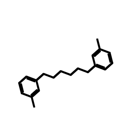 Cc1cccc(CCCCCCc2cccc(C)c2)c1